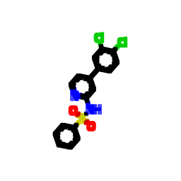 O=S(=O)(Nc1cc(-c2ccc(Cl)c(Cl)c2)ccn1)c1ccccc1